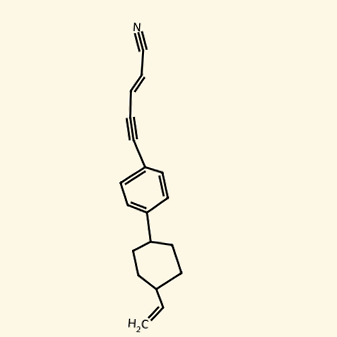 C=CC1CCC(c2ccc(C#CC=CC#N)cc2)CC1